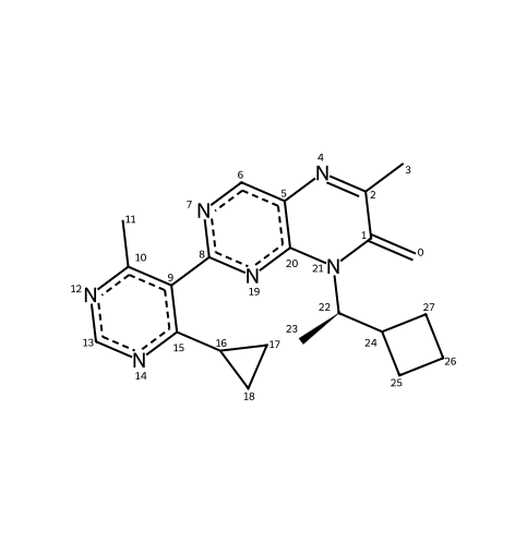 C=C1C(C)=Nc2cnc(-c3c(C)ncnc3C3CC3)nc2N1[C@H](C)C1CCC1